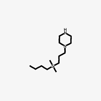 CCCC[Si](C)(C)CCCN1CCNCC1